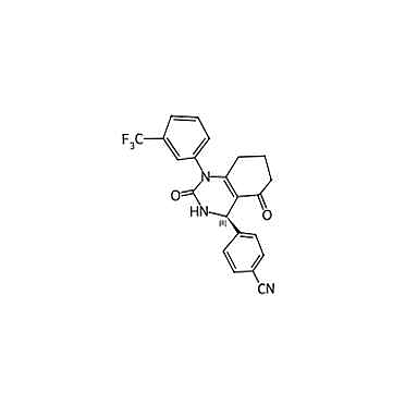 N#Cc1ccc([C@H]2NC(=O)N(c3cccc(C(F)(F)F)c3)C3=C2C(=O)CCC3)cc1